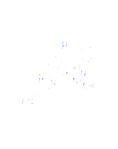 Cc1nc(Oc2cc(C#N)ccc2-c2ncc(CCN)cn2)cc(-c2ccccc2)n1